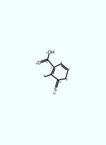 CC1=C(C(=O)O)C=CCC1=S